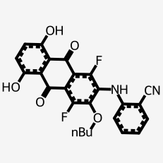 CCCCOc1c(F)c2c(c(F)c1Nc1ccccc1C#N)C(=O)c1c(O)ccc(O)c1C2=O